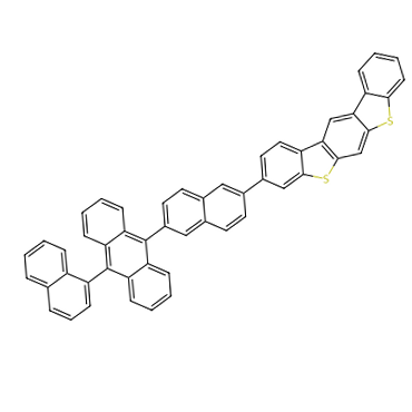 c1ccc2c(-c3c4ccccc4c(-c4ccc5cc(-c6ccc7c(c6)sc6cc8sc9ccccc9c8cc67)ccc5c4)c4ccccc34)cccc2c1